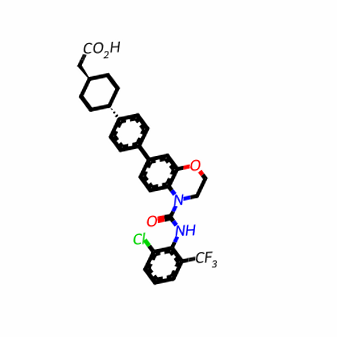 O=C(O)C[C@H]1CC[C@H](c2ccc(-c3ccc4c(c3)OCCN4C(=O)Nc3c(Cl)cccc3C(F)(F)F)cc2)CC1